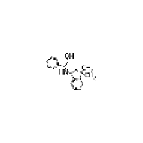 CC1(C)C[C@H](NC(CO)c2ccccc2)c2ccccc21